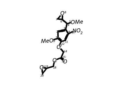 COc1cc(C(OC)C2CO2)c([N+](=O)[O-])cc1OCC(=O)OCC1CO1